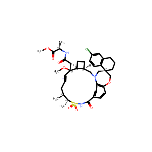 COC(=O)[C@@H](C)NC(=O)C[C@]1(OC)/C=C/C[C@H](C)[C@@H](C)S(=O)(=O)NC(=O)c2ccc3c(c2)N(C[C@@H]2CC[C@H]21)C[C@@]1(CCCc2cc(Cl)ccc21)CO3